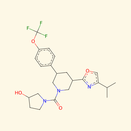 CC(C)c1coc(C2CC(c3ccc(OC(F)(F)F)cc3)CN(C(=O)N3CCC(O)C3)C2)n1